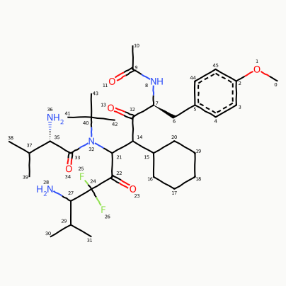 COc1ccc(C[C@H](NC(C)=O)C(=O)C(C2CCCCC2)C(C(=O)C(F)(F)C(N)C(C)C)N(C(=O)[C@@H](N)C(C)C)C(C)(C)C)cc1